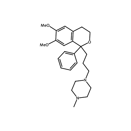 COc1cc2c(cc1OC)C(CCCN1CCN(C)CC1)(c1ccccc1)OCC2